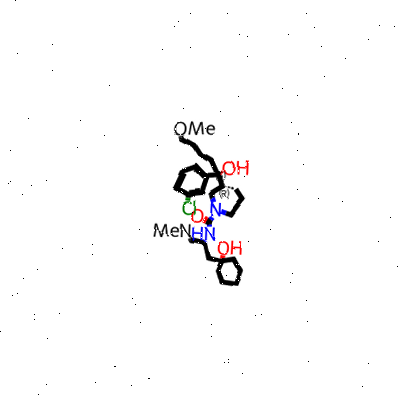 CNCC(CC1(O)CCCCC1)NC(=O)N1CCC[C@@H]([C@@](O)(CCCCOC)c2cccc(Cl)c2)C1